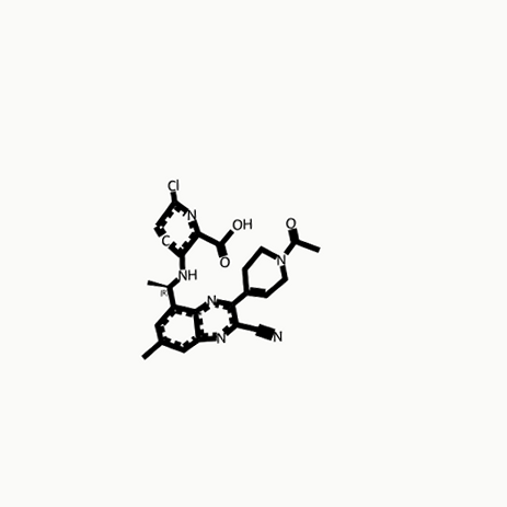 CC(=O)N1CC=C(c2nc3c([C@@H](C)Nc4ccc(Cl)nc4C(=O)O)cc(C)cc3nc2C#N)CC1